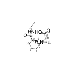 CCNC(=O)N1CCCCC1.C[C@H](N)C(=O)O